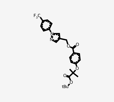 CC(C)(C)OC(=O)C(C)(C)Oc1ccc(C(=O)OCc2cnn(-c3ccc(C(F)(F)F)cc3)c2)cc1